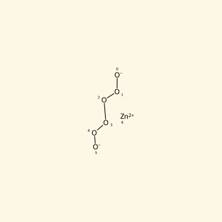 [O-]OOOO[O-].[Zn+2]